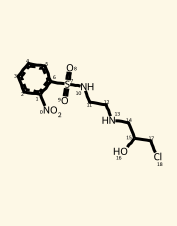 O=[N+]([O-])c1ccccc1S(=O)(=O)NCCNCC(O)CCl